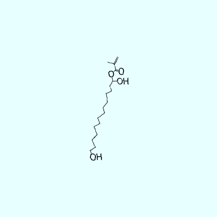 C=C(C)C(=O)OC(O)CCCCCCCCCCCCCO